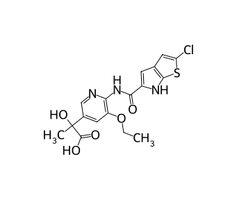 CCOc1cc(C(C)(O)C(=O)O)cnc1NC(=O)c1cc2cc(Cl)sc2[nH]1